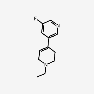 CCN1CC=C(c2cncc(F)c2)CC1